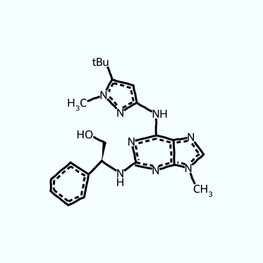 Cn1nc(Nc2nc(N[C@H](CO)c3ccccc3)nc3c2ncn3C)cc1C(C)(C)C